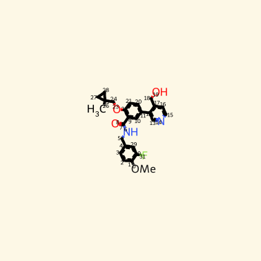 COc1ccc(CNC(=O)c2cc(-c3cnccc3CO)ccc2OCC2(C)CC2)cc1F